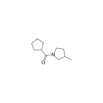 CC1CCN(C(=O)C2CCCC2)C1